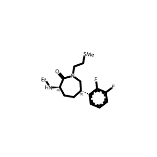 CCN[C@@H]1CC[C@@H](c2cccc(F)c2F)CN(CCSC)C1=O